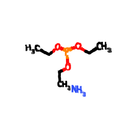 CCOP(OCC)OCC.N